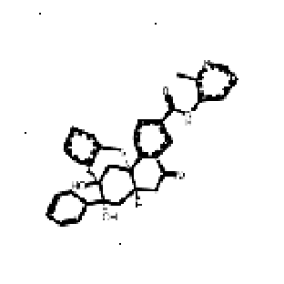 Cc1ncccc1NC(=O)c1ccc2c(c1)C(=O)C[C@@H]1C[C@@](O)(C3C=CC=CC3)[C@](C)(O)C[C@@]21Cc1ccccc1